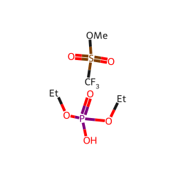 CCOP(=O)(O)OCC.COS(=O)(=O)C(F)(F)F